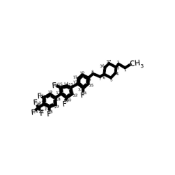 CCCC1CCC(CCc2ccc(-c3cc(F)c(-c4cc(F)c(C(F)(F)F)c(F)c4)c(F)c3)c(F)c2)CC1